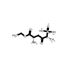 CCOC(=O)[C@@H](N)CC(=O)[C@@H](C)P(=O)(O)O